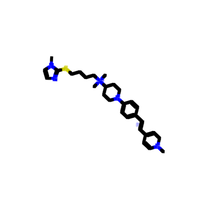 CN1C=CC(/C=C/c2ccc(N3CCC([N+](C)(C)CCCCSc4nccn4C)CC3)cc2)=CC1